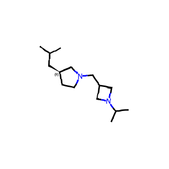 CC(C)C[C@@H]1CCN(CC2CN(C(C)C)C2)C1